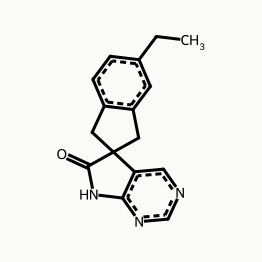 CCc1ccc2c(c1)CC1(C2)C(=O)Nc2ncncc21